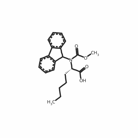 CCCCC[C@@H](C(=O)O)N(C(=O)OC)C1c2ccccc2-c2ccccc21